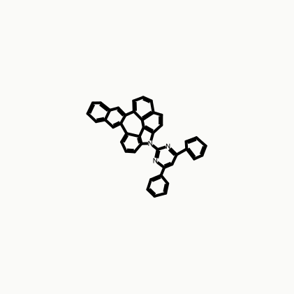 c1ccc(-c2cc(-c3ccccc3)nc(-n3c4cccc5c4c4c6c(cccc6ccc43)-c3cc4ccccc4cc3-5)n2)cc1